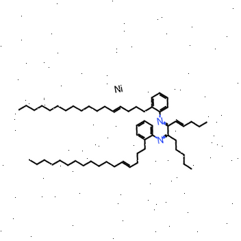 CCC/C=C/C(=N\c1ccccc1CCC/C=C/CCCCCCCCCCCC)C(/CCCCC)=N\c1ccccc1CCC/C=C/CCCCCCCCCCCC.[Ni]